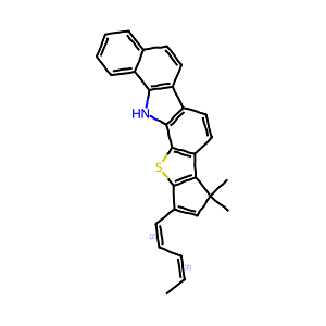 C/C=C\C=C/C1=CC(C)(C)c2c1sc1c2ccc2c3ccc4ccccc4c3[nH]c21